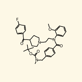 COc1ccccc1N(CCN1CCC(C(=O)c2ccc(F)cc2)CC1)C(=O)c1ccc(CN(C)C(=O)OC(C)(C)C)cc1